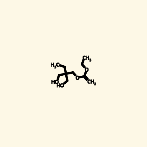 C=C(OCC)OCC(CC)(CO)CO